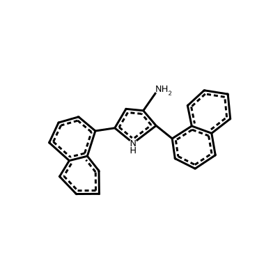 Nc1cc(-c2cccc3ccccc23)[nH]c1-c1cccc2ccccc12